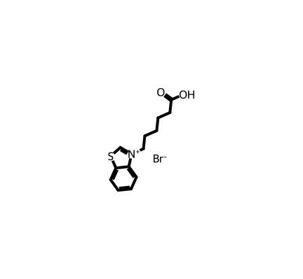 O=C(O)CCCCC[n+]1csc2ccccc21.[Br-]